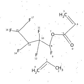 C=CC.C=CC(=O)OC(F)C(F)(F)C(F)C(F)F